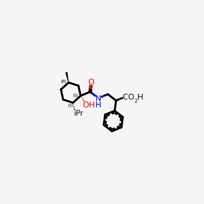 CC(C)[C@@H]1CC[C@@H](C)C[C@@]1(O)C(=O)NCC(C(=O)O)c1ccccc1